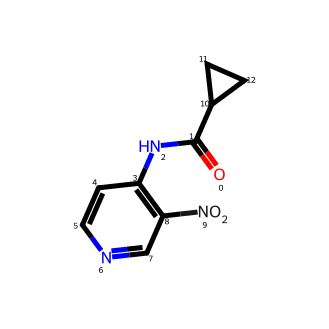 O=C(Nc1ccncc1[N+](=O)[O-])C1CC1